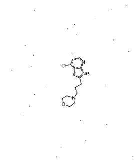 Clc1ccnc2[nH]c(CCCN3CCOCC3)cc12